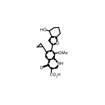 COc1c(-c2cc3c(o2)CCCC3O)c(C2CC2)cc2c(=O)c(C(=O)O)c[nH]c12